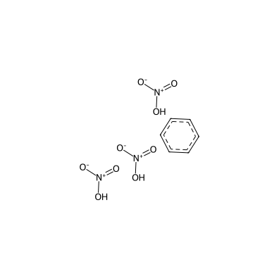 O=[N+]([O-])O.O=[N+]([O-])O.O=[N+]([O-])O.c1ccccc1